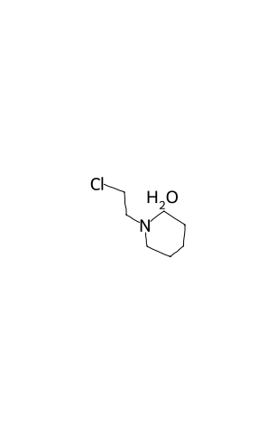 ClCCN1CCCCC1.O